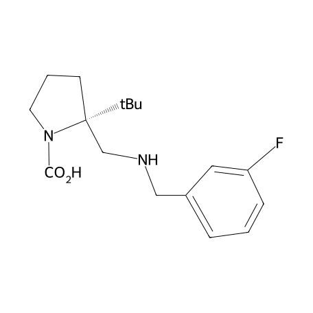 CC(C)(C)[C@@]1(CNCc2cccc(F)c2)CCCN1C(=O)O